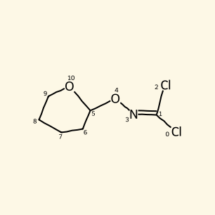 ClC(Cl)=NOC1CCCCO1